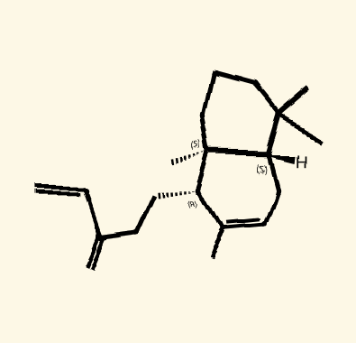 C=CC(=C)CC[C@H]1C(C)=CC[C@H]2C(C)(C)CCC[C@]12C